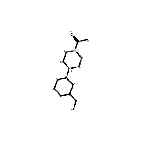 CCC1CCCC(N2CCN(C(C)=O)CC2)C1